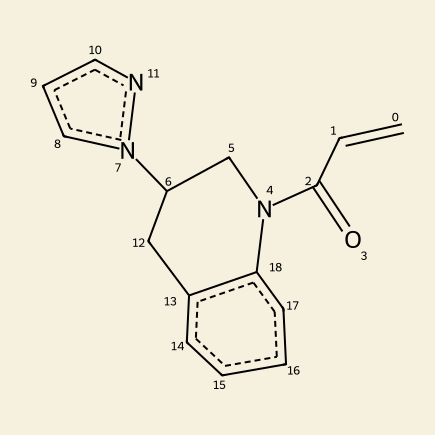 C=CC(=O)N1CC(n2cccn2)Cc2ccccc21